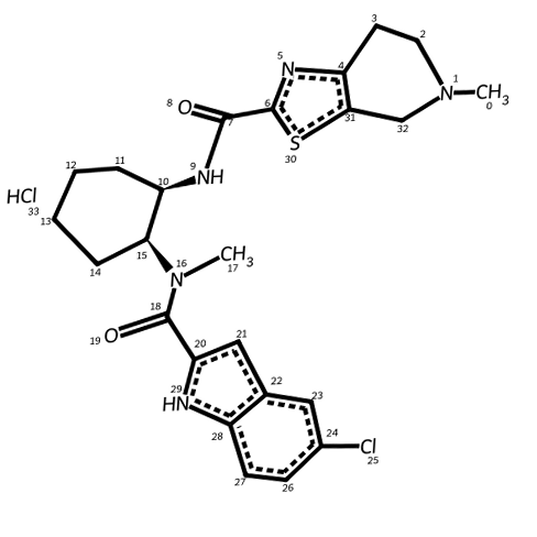 CN1CCc2nc(C(=O)N[C@@H]3CCCC[C@@H]3N(C)C(=O)c3cc4cc(Cl)ccc4[nH]3)sc2C1.Cl